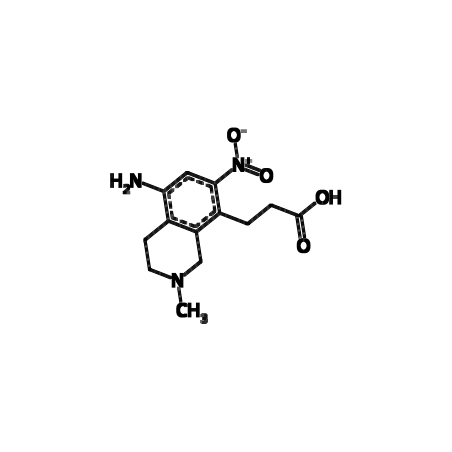 CN1CCc2c(N)cc([N+](=O)[O-])c(CCC(=O)O)c2C1